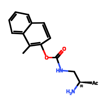 CC(=O)[C@@H](N)CNC(=O)Oc1ccc2ccccc2c1C